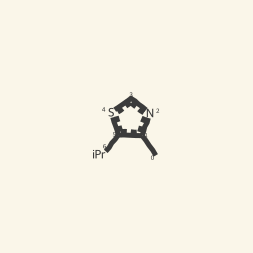 Cc1n[c]sc1C(C)C